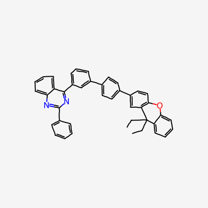 CCC1(CC)c2ccccc2Oc2ccc(-c3ccc(-c4cccc(-c5nc(-c6ccccc6)nc6ccccc56)c4)cc3)cc21